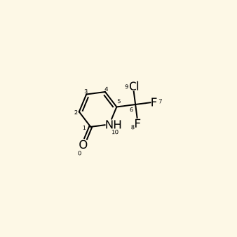 O=c1cccc(C(F)(F)Cl)[nH]1